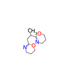 CC(CC1=NCCCO1)C1=NCCCO1